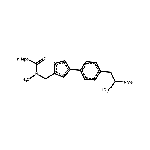 CCCCCCCC(=O)N(C)Cc1cc(-c2ccc(CC(NC)C(=O)O)cc2)cs1